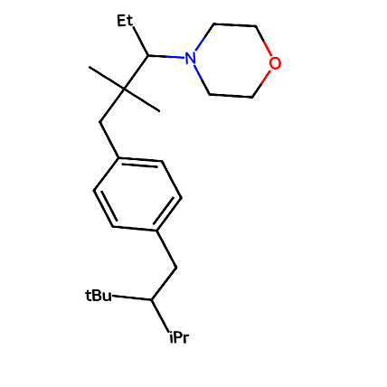 CCC(N1CCOCC1)C(C)(C)Cc1ccc(CC(C(C)C)C(C)(C)C)cc1